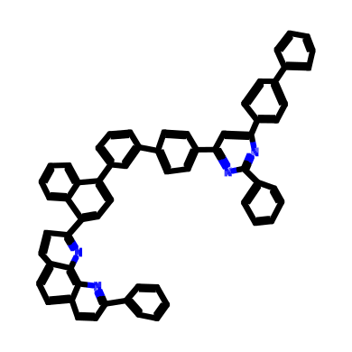 c1ccc(-c2ccc(-c3cc(-c4ccc(-c5cccc(-c6ccc(-c7ccc8ccc9ccc(-c%10ccccc%10)nc9c8n7)c7ccccc67)c5)cc4)nc(-c4ccccc4)n3)cc2)cc1